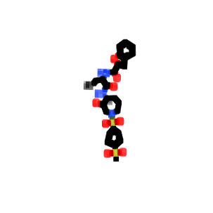 CC(C)CC(NC(=O)c1cc2ccccc2o1)C(=O)N[C@H]1CCCN(S(=O)(=O)c2ccc(S(C)(=O)=O)cc2)CC1=O